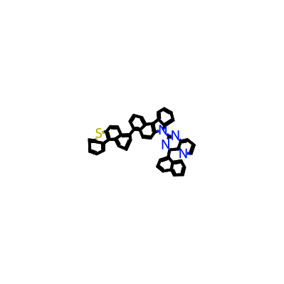 c1ccc2c(-c3nc(-n4c5ccccc5c5c6cccc(-c7cccc8c7ccc7sc9ccccc9c78)c6ccc54)nc4cccnc34)cccc2c1